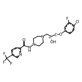 O=C(NN1CCN(C[C@@H](O)COc2ccc(Cl)c(F)c2)CC1)c1ccc(C(F)(F)F)cn1